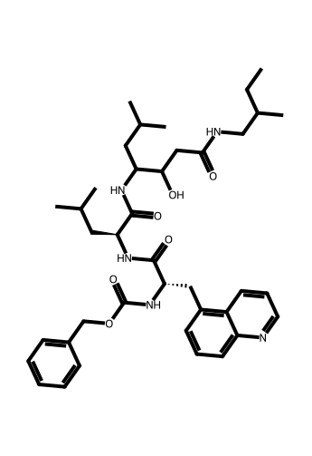 CCC(C)CNC(=O)CC(O)C(CC(C)C)NC(=O)[C@H](CC(C)C)NC(=O)[C@H](Cc1cccc2ncccc12)NC(=O)OCc1ccccc1